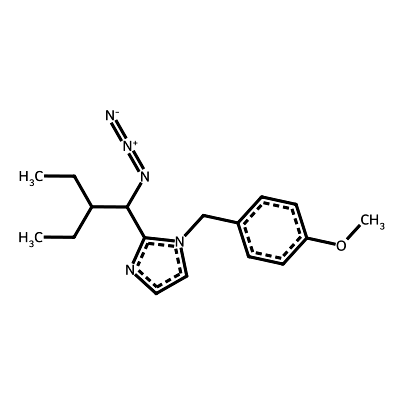 CCC(CC)C(N=[N+]=[N-])c1nccn1Cc1ccc(OC)cc1